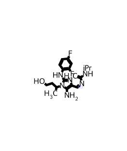 C=C(/N=C\c1nc(Nc2ccc(F)cc2F)n(C(C)CCO)c1N)NC(C)C